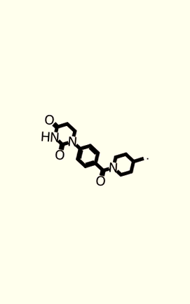 [CH2]C1CCN(C(=O)c2ccc(N3CCC(=O)NC3=O)cc2)CC1